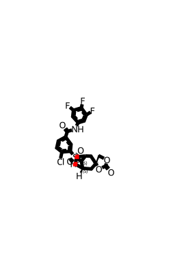 O=C1OC[C@@]2(CC3CC[C@@H](C2)[C@H]3S(=O)(=O)c2cc(C(=O)Nc3cc(F)c(F)c(F)c3)ccc2Cl)O1